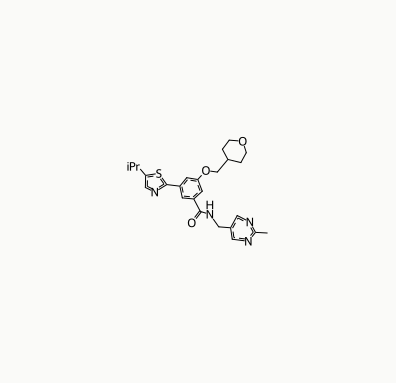 Cc1ncc(CNC(=O)c2cc(OCC3CCOCC3)cc(-c3ncc(C(C)C)s3)c2)cn1